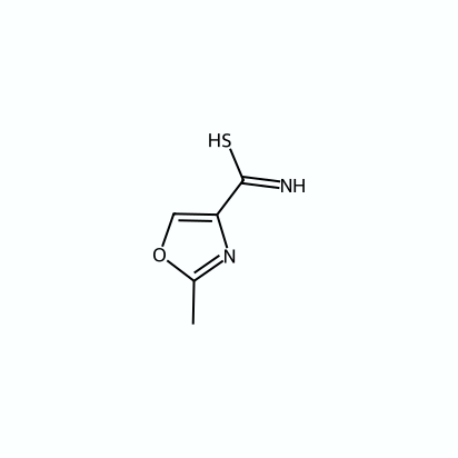 Cc1nc(C(=N)S)co1